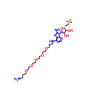 C=P(C)(C)CC[C@H]1OC(n2c(N)nc3c(NCCCOCCOCCOCCOCCOCCCN)ncnc32)[C@H](O)[C@@H]1O